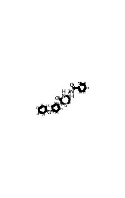 O=C(NC[C@@H]1CCS[C@H](c2ccc(Oc3ccccc3)cc2)C(=O)N1)c1ccccn1